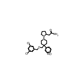 Cl.NC(=O)CC1CCCN1N1CCC(COCc2cc(Cl)cc(Cl)c2)(c2ccccc2)CC1